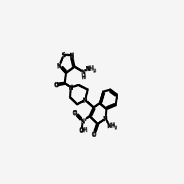 NNc1nsnc1C(=O)N1CCN(c2c([N+](=O)O)c(=O)n(N)c3ccccc23)CC1